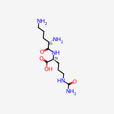 NCCC[C@H](N)C(=O)N[C@@H](CCCNC(N)=O)C(=O)O